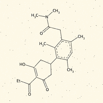 CCC(=O)C1=C(O)CC(c2c(C)cc(C)c(CC(=O)N(C)C)c2C)CC1=O